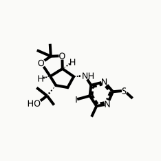 CSc1nc(C)c(I)c(N[C@@H]2C[C@H](C(C)(C)O)[C@H]3OC(C)(C)O[C@H]32)n1